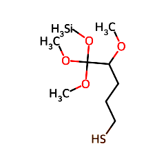 COC(CCCS)C(OC)(OC)O[SiH3]